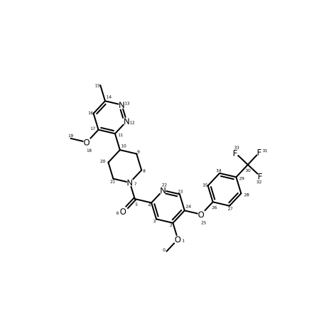 COc1cc(C(=O)N2CCC(c3nnc(C)cc3OC)CC2)ncc1Oc1ccc(C(F)(F)F)cc1